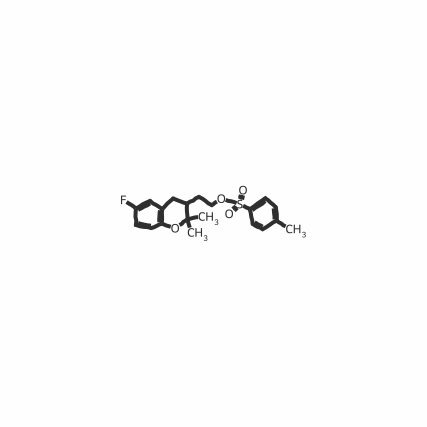 Cc1ccc(S(=O)(=O)OCCC2Cc3cc(F)ccc3OC2(C)C)cc1